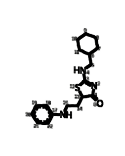 O=C1N=C(NCC2CCCCC2)SC1CCNc1ccccc1